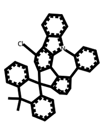 CC1(C)c2ccccc2C2(c3ccccc31)c1cccc3c1-c1c2cc(Cl)c2c4ccccc4n(c12)-c1ccccc1-3